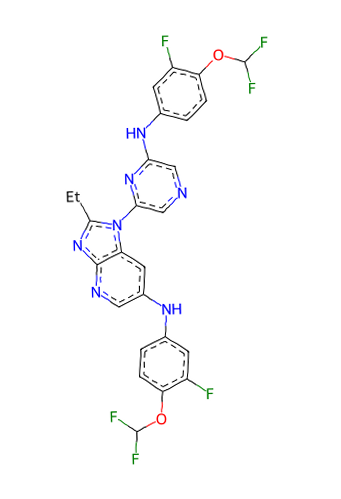 CCc1nc2ncc(Nc3ccc(OC(F)F)c(F)c3)cc2n1-c1cncc(Nc2ccc(OC(F)F)c(F)c2)n1